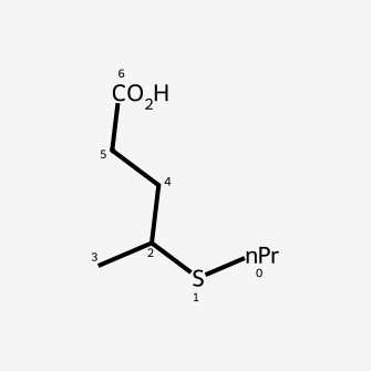 CCCSC(C)CCC(=O)O